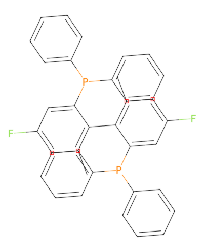 Cc1cc(F)cc(P(c2ccccc2)c2ccccc2)c1-c1c(C)cc(F)cc1P(c1ccccc1)c1ccccc1